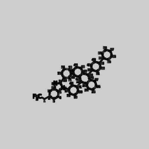 FC(F)(F)Cc1ccc2c(c1)nc(-c1ccccc1)n2-c1cccc(-c2c3ccccc3c(-c3ccc(-c4ccccc4)cc3)c3ccccc23)c1